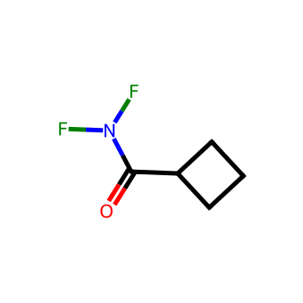 O=C(C1CCC1)N(F)F